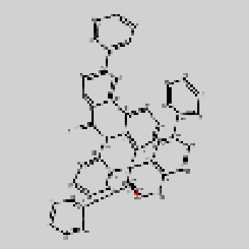 O=c1c2ccc(-c3ccccc3)cc2c2cccc3c2n1-c1ccccc1C31c2cc(-c3ccccc3)ccc2Sc2ccc(-c3ccccc3)cc21